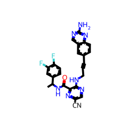 CC(NC(=O)c1nc(C#N)cnc1NCC#Cc1ccc2nc(N)ncc2c1)c1ccc(F)c(F)c1